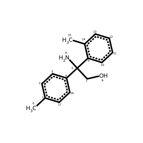 Cc1ccc(C(N)(CO)c2ccccc2C)cc1